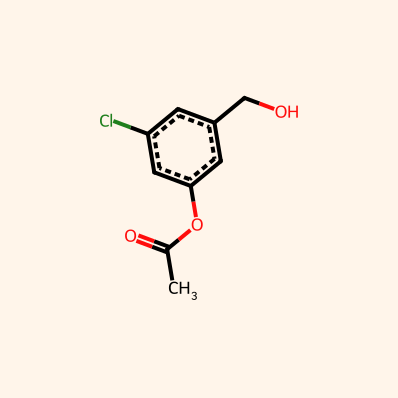 CC(=O)Oc1cc(Cl)cc(CO)c1